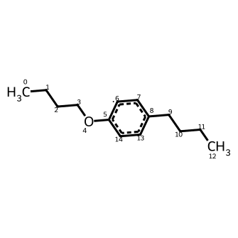 CCCCOc1[c]cc(CCCC)cc1